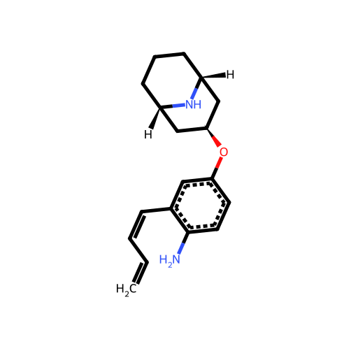 C=C/C=C\c1cc(O[C@@H]2C[C@H]3CCC[C@@H](C2)N3)ccc1N